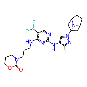 Cc1nn(C2CC3CCC(C2)N3C)cc1Nc1ncc(C(F)F)c(NCCCN2CCCOC2=O)n1